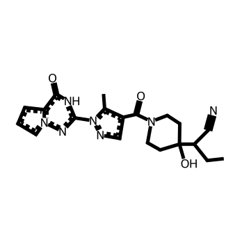 CCC(C#N)C1(O)CCN(C(=O)c2cnn(-c3nn4cccc4c(=O)[nH]3)c2C)CC1